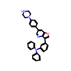 c1ccc(N(c2ccccc2)c2cccc(-c3coc4cc(-c5ccc(N6CCNCC6)cc5)cnc34)c2)cc1